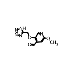 COc1cc(C=O)c(OCc2nnn[nH]2)cn1